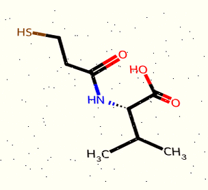 CC(C)[C@H](NC(=O)CCS)C(=O)O